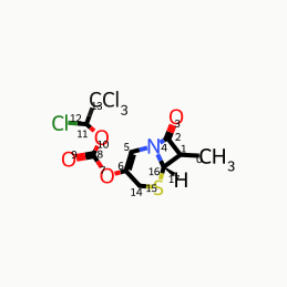 CC1C(=O)N2C=C(OC(=O)OC(Cl)C(Cl)(Cl)Cl)CS[C@@H]12